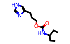 CCC(CC)NC(=O)OCCCc1c[nH]cn1